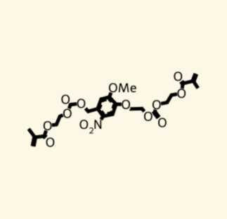 C=C(C)C(=O)OCCOC(=O)OCCOc1cc([N+](=O)[O-])c(COC(=O)OCCOC(=O)C(=C)C)cc1OC